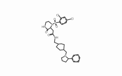 O=C(CC1C(=O)NCCN1S(=O)(=O)c1ccc(Cl)cc1Cl)NCC1CCC(CN2CCCC2c2ccccc2)CC1